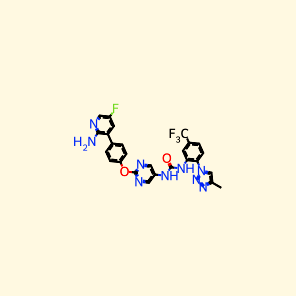 Cc1cn(-c2ccc(C(F)(F)F)cc2NC(=O)Nc2cnc(Oc3ccc(-c4cc(F)cnc4N)cc3)nc2)nn1